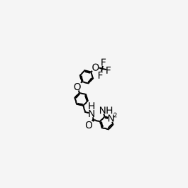 Nc1ncccc1C(=O)NCc1ccc(Oc2ccc(OC(F)(F)F)cc2)cc1